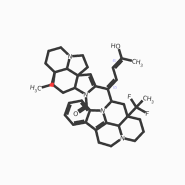 CCC12CCCN3CCC4(C=C(/C(=C\C=C(/C)O)C5CC6(C(C)(F)F)CCCN7CCc8c(n5c5ccccc85)C76)N(C=O)C4CC1)C32